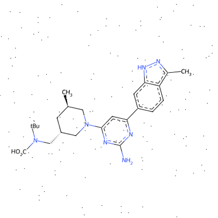 Cc1n[nH]c2cc(-c3cc(N4C[C@H](C)C[C@@H](CN(C(=O)O)C(C)(C)C)C4)nc(N)n3)ccc12